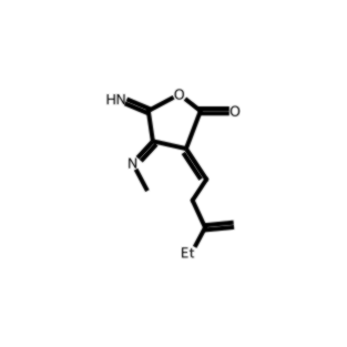 C=C(CC)C/C=C1/C(=O)OC(=N)/C1=N/C